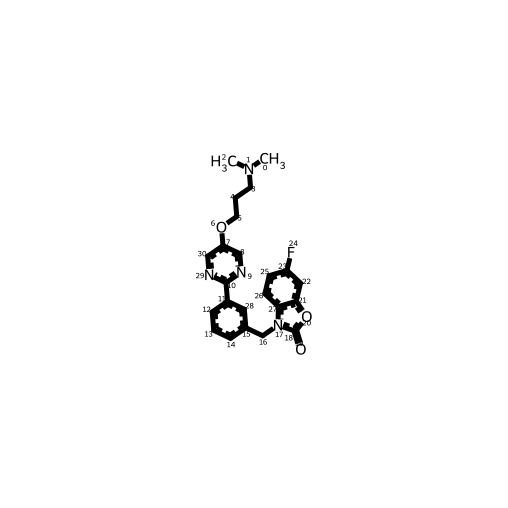 CN(C)CCCOc1cnc(-c2cccc(Cn3c(=O)oc4cc(F)ccc43)c2)nc1